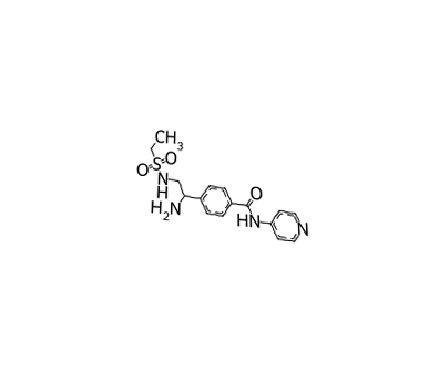 CCS(=O)(=O)NCC(N)c1ccc(C(=O)Nc2ccncc2)cc1